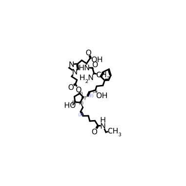 CCNC(=O)CCC/C=C\C[C@@H]1[C@@H](/C=C/[C@@H](O)CCc2ccccc2)[C@H](OC(=O)CCn2cnc(CC(NC(=O)C(C)N)C(=O)O)c2)C[C@@H]1O